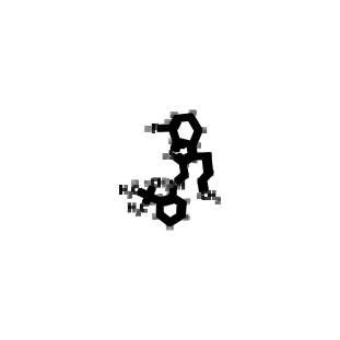 C=C/C=C\c1c(CNC2=C(C(C)(C)C)CCC=C2)sc2c1CCC=C2F